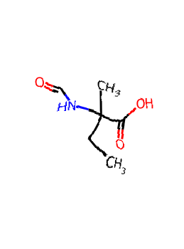 CCC(C)(NC=O)C(=O)O